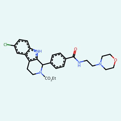 CCOC(=O)N1CCc2c([nH]c3ccc(Cl)cc23)C1c1ccc(C(=O)NCCN2CCOCC2)cc1